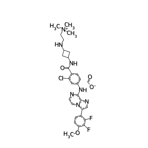 COc1ccc(-c2cnc3c(Nc4ccc(C(=O)NC5CC(NCC[N+](C)(C)C)C5)c(Cl)c4)nccn23)c(F)c1F.O=C[O-]